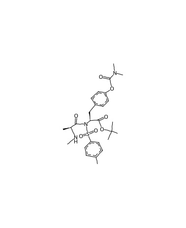 CN[C@@H](C)C(=O)N([C@@H](Cc1ccc(OC(=O)N(C)C)cc1)C(=O)OC(C)(C)C)S(=O)(=O)c1ccc(C)cc1